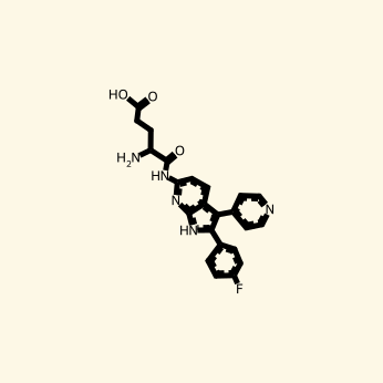 NC(CCC(=O)O)C(=O)Nc1ccc2c(-c3ccncc3)c(-c3ccc(F)cc3)[nH]c2n1